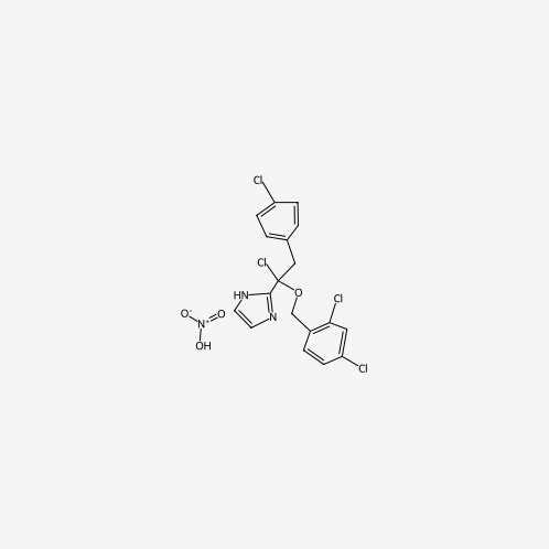 Clc1ccc(CC(Cl)(OCc2ccc(Cl)cc2Cl)c2ncc[nH]2)cc1.O=[N+]([O-])O